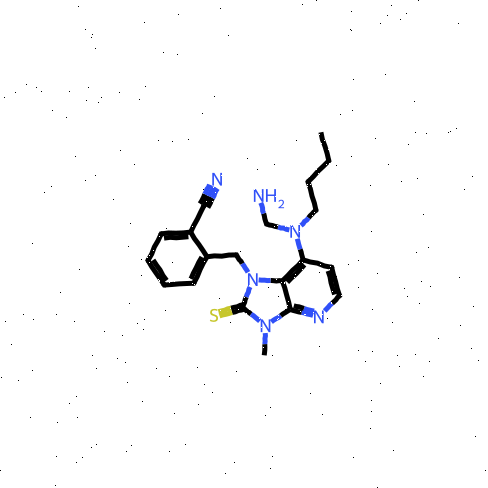 CCCCN(CN)c1ccnc2c1n(Cc1ccccc1C#N)c(=S)n2C